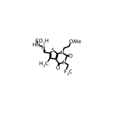 COCCn1c(=O)n(CC(F)(F)F)c(=O)c2c(C)c(C=NNC(=O)O)sc21